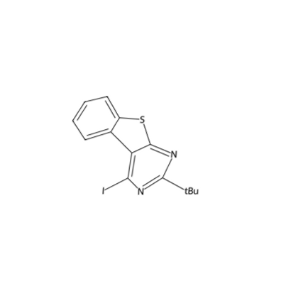 CC(C)(C)c1nc(I)c2c(n1)sc1ccccc12